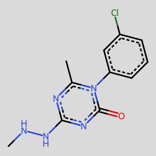 CNNc1nc(C)n(-c2cccc(Cl)c2)c(=O)n1